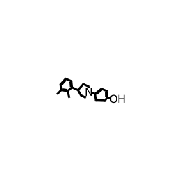 Cc1cccc(C2CCN(c3ccc(O)cc3)CC2)c1C